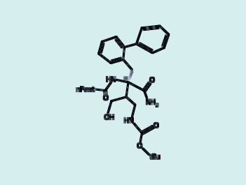 CCCCCC(=O)N[C@@](Cc1ccccc1-c1ccccc1)(C(N)=O)C(CO)CNC(=O)OC(C)(C)C